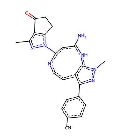 Cc1nn(-c2cc(N)[nH]c3c(ccn2)c(-c2ccc(C#N)cc2)nn3C)c2c1C(=O)CC2